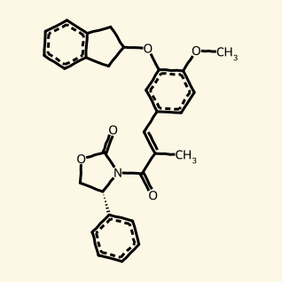 COc1ccc(/C=C(\C)C(=O)N2C(=O)OC[C@H]2c2ccccc2)cc1OC1Cc2ccccc2C1